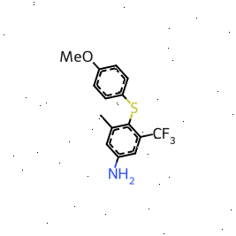 COc1ccc(Sc2c(C)cc(N)cc2C(F)(F)F)cc1